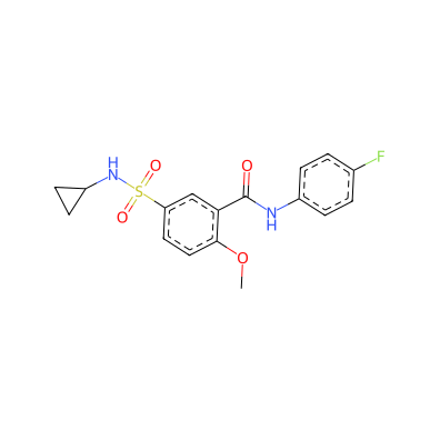 COc1ccc(S(=O)(=O)NC2CC2)cc1C(=O)Nc1ccc(F)cc1